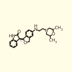 CC1CN(CCNc2ccc3c(c2)CO/C3=C2/C(=O)Nc3ccccc32)C[C@H](C)O1